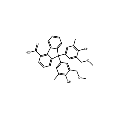 COCc1cc(C2(c3cc(C)c(O)c(COC)c3)c3ccccc3-c3c(C(=O)O)cccc32)cc(C)c1O